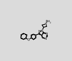 BN1CC(n2nc(-c3ccc(Oc4ccccc4)cc3)c3cncnc32)C1